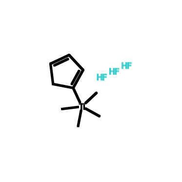 F.F.F.[CH3][Ti]([CH3])([CH3])([CH3])[C]1=CC=CC1